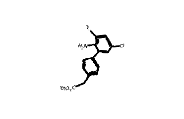 CCOC(=O)Cc1ccc(-c2cc(Cl)cc(F)c2N)cc1